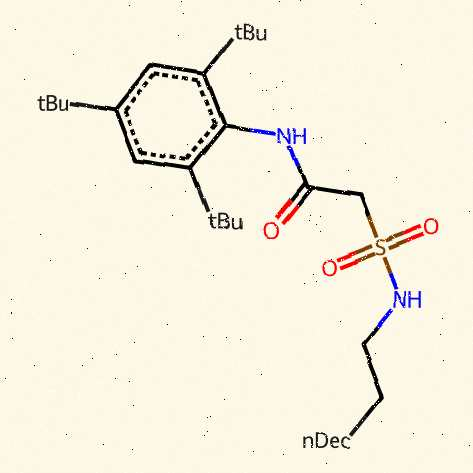 CCCCCCCCCCCCNS(=O)(=O)CC(=O)Nc1c(C(C)(C)C)cc(C(C)(C)C)cc1C(C)(C)C